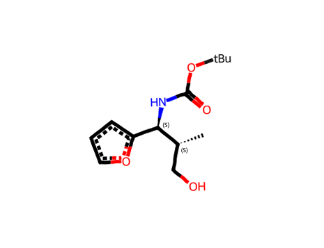 C[C@H](CO)[C@H](NC(=O)OC(C)(C)C)c1ccco1